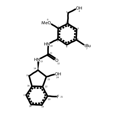 COc1c(CO)cc(C(C)(C)C)cc1NC(=O)N[C@@H]1Cc2cccc(F)c2C1O